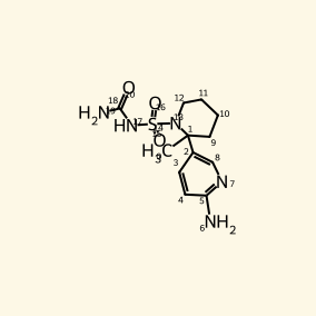 CC1(c2ccc(N)nc2)CCCCN1S(=O)(=O)NC(N)=O